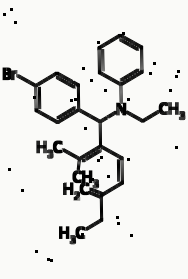 C=C(/C=C\C(=C(C)C)C(c1ccc(Br)cc1)N(CC)c1ccccc1)CC